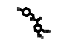 CCN1CCC(CNC(=O)c2ccc(N)c(OC)c2)CC1